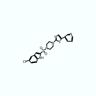 O=S(=O)(c1cc2cc(Cl)ccc2[nH]1)N1CCN(c2ncc(-c3cccnc3)s2)CC1